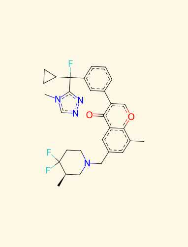 Cc1cc(CN2CCC(F)(F)[C@H](C)C2)cc2c(=O)c(-c3cccc(C(F)(c4nncn4C)C4CC4)c3)coc12